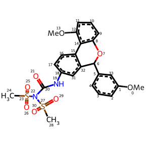 COc1cccc(C2Oc3cccc(OC)c3-c3ccc(NC(=O)N(S(C)(=O)=O)S(C)(=O)=O)cc32)c1